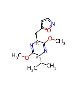 COC1=N[C@H](C(C)C)C(OC)=N[C@H]1Cc1ccno1